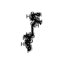 CN[C@H](C)C(=O)N[C@@H](CCC(=O)NCC#CC#CCNC(=O)CC[C@H](NC(=O)[C@@H](C)NC)C(=O)N1CC(C)(C)c2[nH]c(=O)c(Cc3ccc(F)cc3)cc21)C(=O)N1CC(C)(C)c2[nH]c(=O)c(Cc3ccc(F)cc3)cc21